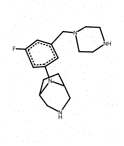 Fc1cc(CN2CCNCC2)cc(N2C3CCC2CNC3)c1